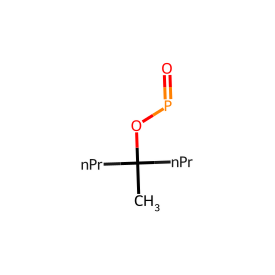 CCCC(C)(CCC)OP=O